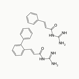 N=C(N)NC(=O)C=Cc1ccccc1.N=C(N)NC(=O)C=Cc1ccccc1-c1ccccc1